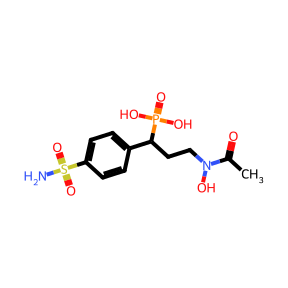 CC(=O)N(O)CCC(c1ccc(S(N)(=O)=O)cc1)P(=O)(O)O